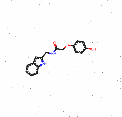 O=C(COc1ccc(O)cc1)NCc1cc2ccccc2[nH]1